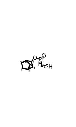 O=[PH](OC1CC2CCC1C2)SS